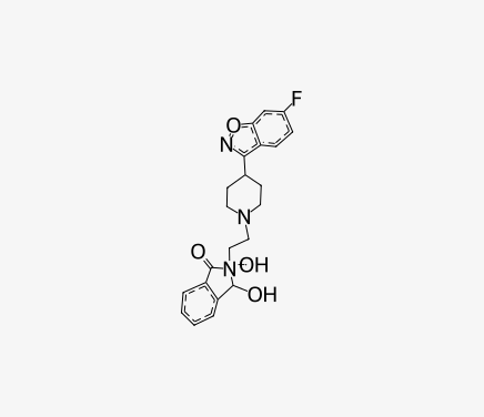 O=C1c2ccccc2C(O)[N+]1(O)CCN1CCC(c2noc3cc(F)ccc23)CC1